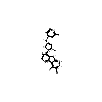 Cc1cc(O[C@H]2C[C@@H](C)N(c3ncnc4c3sc3nnc(C)c(C)c34)C2)ccn1